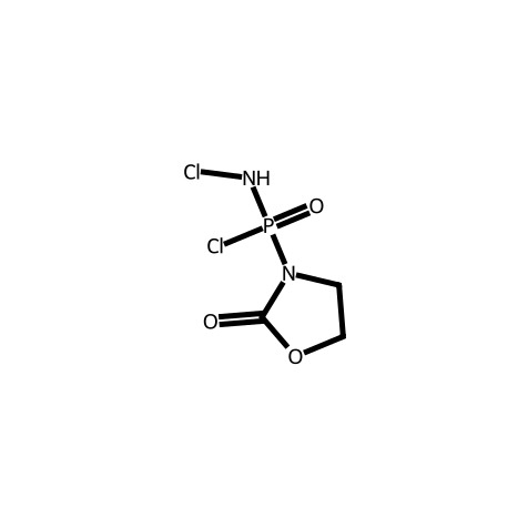 O=C1OCCN1P(=O)(Cl)NCl